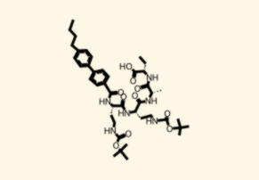 CCCCc1ccc(-c2ccc(C(=O)N[C@@H](CCNC(=O)OC(C)(C)C)C(=O)N[C@@H](CCNC(=O)OC(C)(C)C)C(=O)N[C@@H](C)C(=O)N[C@@H](CC)C(=O)O)cc2)cc1